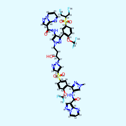 Cn1cc(NC(=O)c2cnn3cccnc23)c(-c2cc(S(=O)(=O)c3cnn(C[C@@H](O)CCn4cc(NC(=O)c5cnn6cccnc56)c(-c5cc(S(=O)(=O)C(CF)CF)ccc5OC(F)F)n4)c3)ccc2OC(F)F)n1